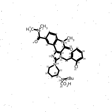 CN(C)C(=O)c1ccc2c(c1)c1nc(N3CCC[C@@H](N(C(=O)O)C(C)(C)C)C3)n(Cc3ccccc3Cl)c1c(=O)n2C